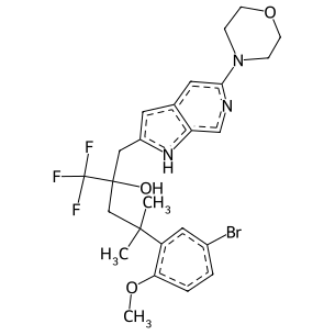 COc1ccc(Br)cc1C(C)(C)CC(O)(Cc1cc2cc(N3CCOCC3)ncc2[nH]1)C(F)(F)F